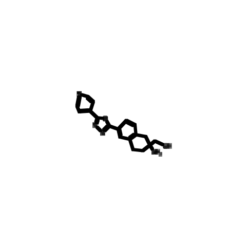 NC1(CO)CCc2cc(-c3nnc(-c4ccncc4)o3)ccc2C1